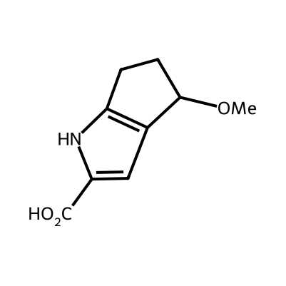 COC1CCc2[nH]c(C(=O)O)cc21